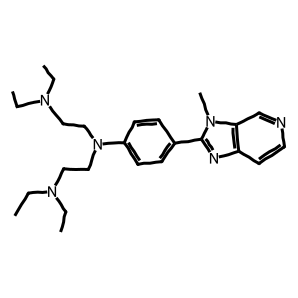 CCN(CC)CCN(CCN(CC)CC)c1ccc(-c2nc3ccncc3n2C)cc1